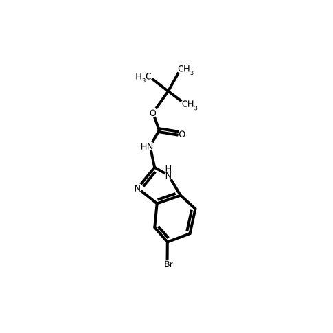 CC(C)(C)OC(=O)Nc1nc2cc(Br)ccc2[nH]1